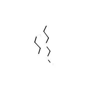 COCOCCI.OCCI